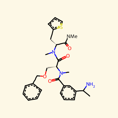 CNC(=O)[C@@H](Cc1cccs1)N(C)C(=O)[C@@H](COCc1ccccc1)N(C)C(=O)c1cccc(C(C)N)c1